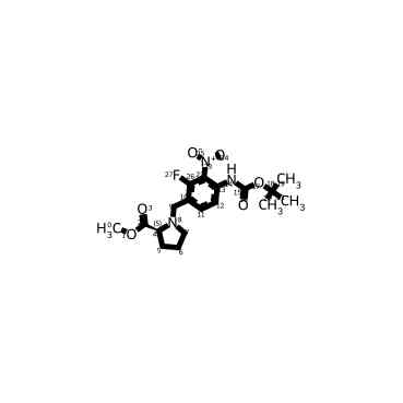 COC(=O)[C@@H]1CCCN1Cc1ccc(NC(=O)OC(C)(C)C)c([N+](=O)[O-])c1F